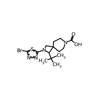 CC(C)(C)C1N(c2nnc(Br)s2)CC12CCN(C(=O)O)CC2